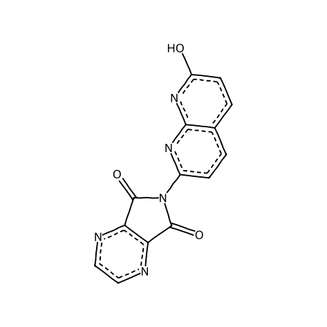 O=C1c2nccnc2C(=O)N1c1ccc2ccc(O)nc2n1